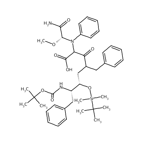 CO[C@H](C(N)=O)N(c1ccccc1)C(C(=O)O)C(=O)C(Cc1ccccc1)C[C@H](O[Si](C)(C)C(C)(C)C)[C@H](Cc1ccccc1)NC(=O)OC(C)(C)C